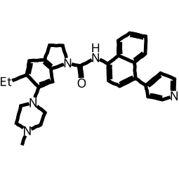 CCc1cc2c(cc1N1CCN(C)CC1)N(C(=O)Nc1ccc(-c3ccncc3)c3ccccc13)CC2